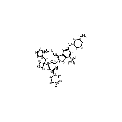 CC1CCCN(Cc2cc3c(c(C(F)(F)F)c2)CN(c2cc(C4(Cc5nncn5C)COC4)cc(N4CCNCC4)n2)C3=O)C1